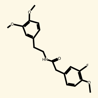 COc1ccc(CC(=O)NCCc2ccc(OC)c(OC)c2)cc1F